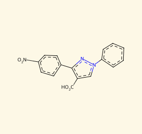 O=C(O)c1cn(-c2ccccc2)nc1-c1ccc([N+](=O)[O-])cc1